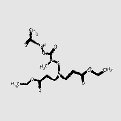 CCOC(=O)CCN(CCC(=O)OCC)SN(C)C(=O)ONC(C)=S